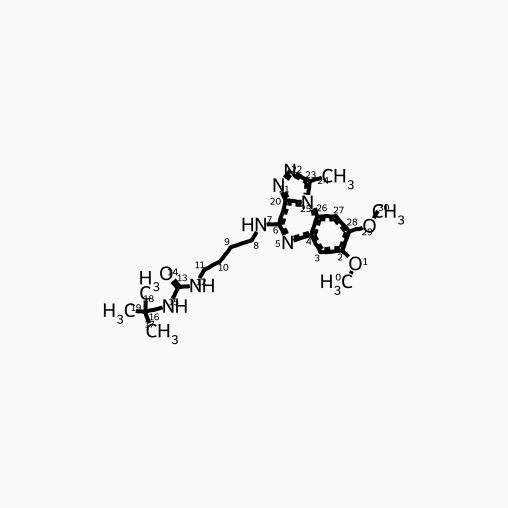 COc1cc2nc(NCCCCNC(=O)NC(C)(C)C)c3nnc(C)n3c2cc1OC